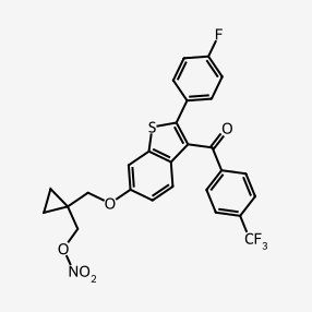 O=C(c1ccc(C(F)(F)F)cc1)c1c(-c2ccc(F)cc2)sc2cc(OCC3(CO[N+](=O)[O-])CC3)ccc12